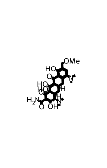 COCc1cc(N(C)C)c2c(c1O)C(=O)C1=C(O)[C@]3(O)C(=O)C(C(N)=O)=C(O)[C@H](N(C)C)[C@H]3C[C@@H]1C2